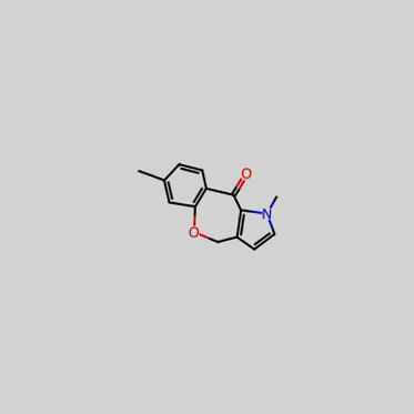 Cc1ccc2c(c1)OCc1ccn(C)c1C2=O